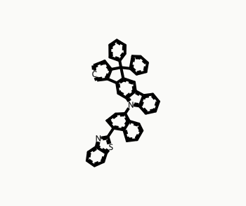 c1ccc(C2(c3ccccc3)c3ccccc3-c3cc4c(cc32)c2ccccc2n4-c2ccc(-c3nc4ccccc4s3)c3ccccc23)cc1